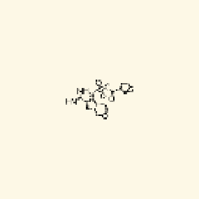 N=C(N)c1cc2coccc-2c1CS(=O)(=O)OC(=O)c1ccsc1